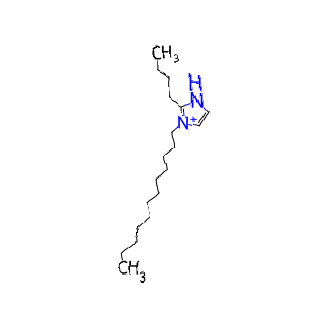 CCCCCCCCCCCC[n+]1cc[nH]c1CCCC